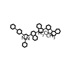 CC1(C)c2ccc3ccccc3c2-c2cccc(-c3ccc(-c4ccc(-c5cc(-c6ccc(-c7ccccc7)cc6)nc(-c6ccccc6)n5)c5ccccc45)c4ccccc34)c21